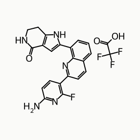 Nc1ccc(-c2ccc3cccc(-c4cc5c([nH]4)CCNC5=O)c3n2)c(F)n1.O=C(O)C(F)(F)F